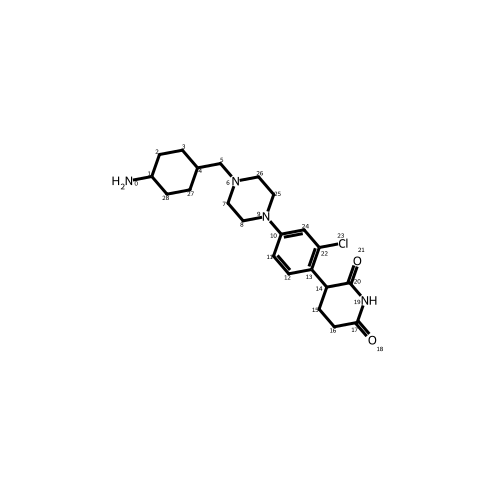 NC1CCC(CN2CCN(c3ccc(C4CCC(=O)NC4=O)c(Cl)c3)CC2)CC1